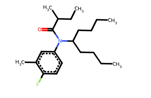 CCCCC(CCCC)N(C(=O)C(C)CC)c1ccc(F)c(C)c1